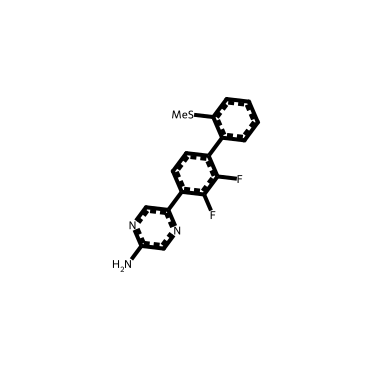 CSc1ccccc1-c1ccc(-c2cnc(N)cn2)c(F)c1F